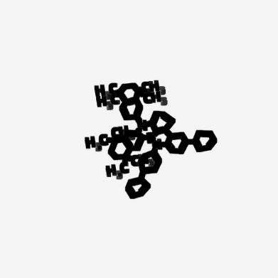 CC1(C)CCC(C)(C)c2cc(N3c4cc5c(cc4B4c6c(cccc63)-c3cc(-c6ccccc6)ccc3N4c3ccc(-c4ccccc4)cc3)C(C)(C)CCC5(C)C)ccc21